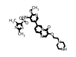 COc1ncc(-c2ccc3ncc(OCCN4CCNCC4)c(=O)n3c2)cc1NS(=O)(=O)c1sc(C)nc1C